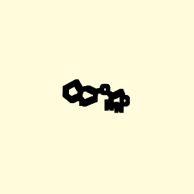 [c]1cc(Oc2conn2)cc2ccccc12